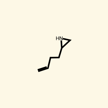 C=CCCC1CN1